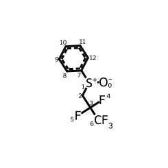 [O-][S+](CC(F)(F)C(F)(F)F)c1ccccc1